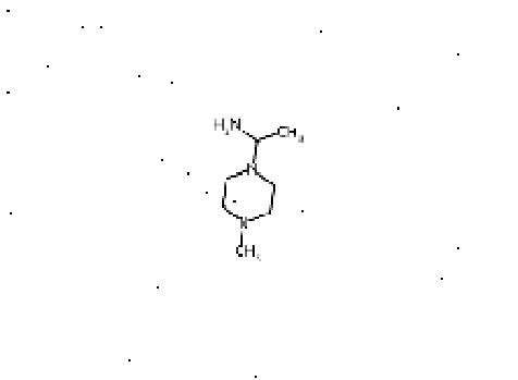 CC(N)N1CCN(C)CC1